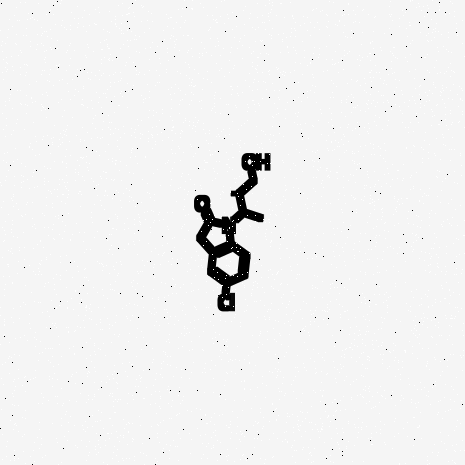 CC([CH]CO)N1C(=O)Cc2cc(Cl)ccc21